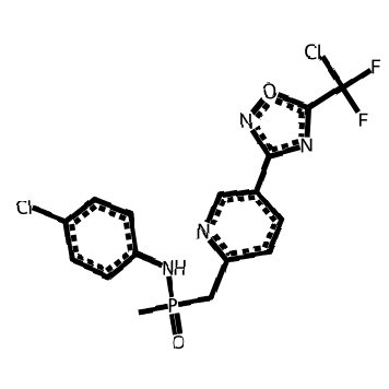 CP(=O)(Cc1ccc(-c2noc(C(F)(F)Cl)n2)cn1)Nc1ccc(Cl)cc1